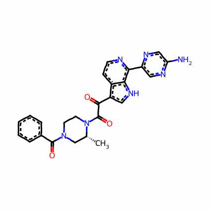 C[C@@H]1CN(C(=O)c2ccccc2)CCN1C(=O)C(=O)c1c[nH]c2c(-c3cnc(N)cn3)nccc12